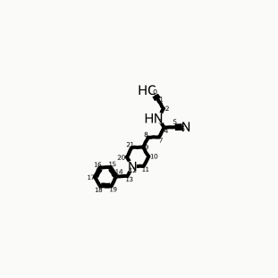 C#CCNC(C#N)CCC1CCN(Cc2ccccc2)CC1